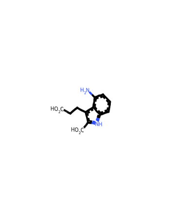 Nc1cccc2[nH]c(C(=O)O)c(CCC(=O)O)c12